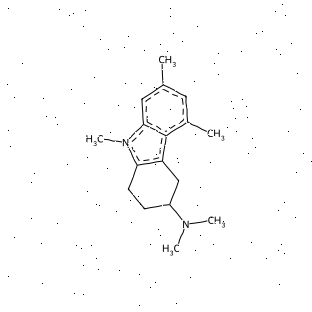 Cc1cc(C)c2c3c(n(C)c2c1)CCC(N(C)C)C3